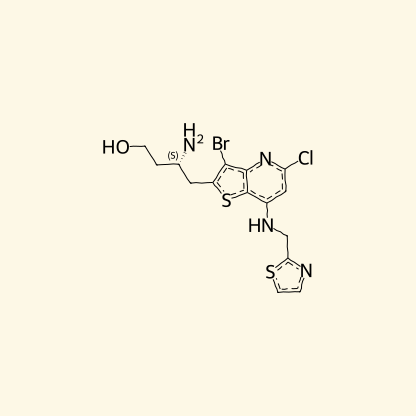 N[C@@H](CCO)Cc1sc2c(NCc3nccs3)cc(Cl)nc2c1Br